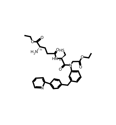 CCOC(=O)CN(C(=O)[C@H](CS)NC(=O)CC[C@H](N)C(=O)OCC)c1cccc(Cc2ccc(-c3ccccn3)cc2)c1